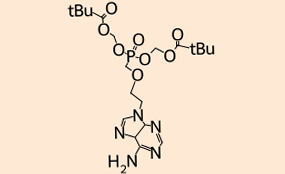 CC(C)(C)C(=O)OCOP(=O)(COCCN1C=NC2C(N)=NC=NC21)OCOC(=O)C(C)(C)C